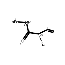 C=C[C@H](C)C(=O)NCCC